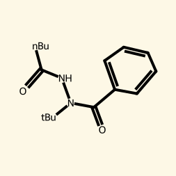 CCCCC(=O)NN(C(=O)c1ccccc1)C(C)(C)C